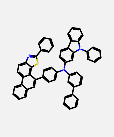 c1ccc(-c2cccc(N(c3ccc(-c4cc5ccccc5c5ccc6nc(-c7ccccc7)sc6c45)cc3)c3ccc4c5ccccc5n(-c5ccccc5)c4c3)c2)cc1